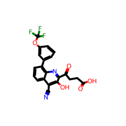 N#Cc1c(O)c(C(=O)CCC(=O)O)nc2c(-c3cccc(OC(F)(F)F)c3)cccc12